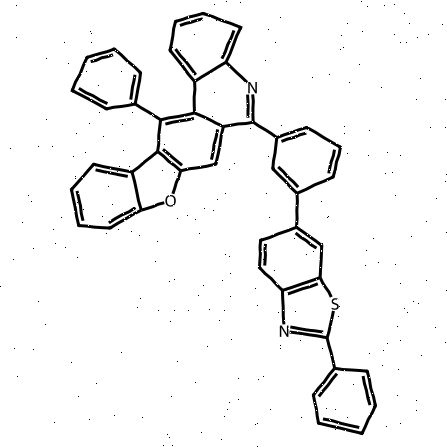 c1ccc(-c2nc3ccc(-c4cccc(-c5nc6ccccc6c6c(-c7ccccc7)c7c(cc56)oc5ccccc57)c4)cc3s2)cc1